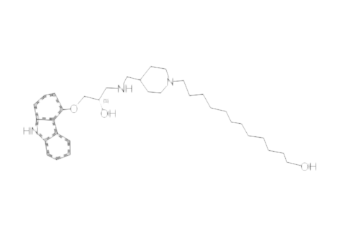 OCCCCCCCCCCCCN1CCC(CNC[C@H](O)COc2cccc3[nH]c4ccccc4c23)CC1